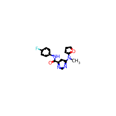 CN(c1cc(C(=O)Nc2ccc(F)cc2)ncn1)c1ccco1